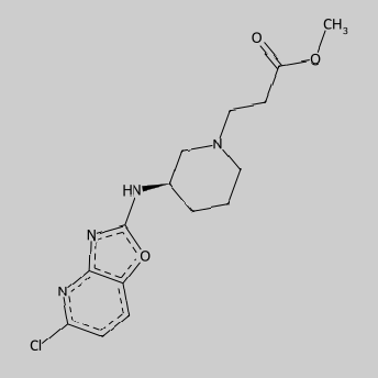 COC(=O)CCN1CCC[C@@H](Nc2nc3nc(Cl)ccc3o2)C1